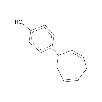 Oc1ccc(C2C=CCC=CC2)cc1